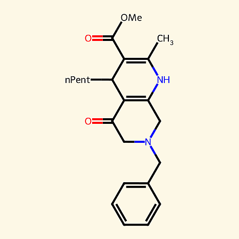 CCCCCC1C(C(=O)OC)=C(C)NC2=C1C(=O)CN(Cc1ccccc1)C2